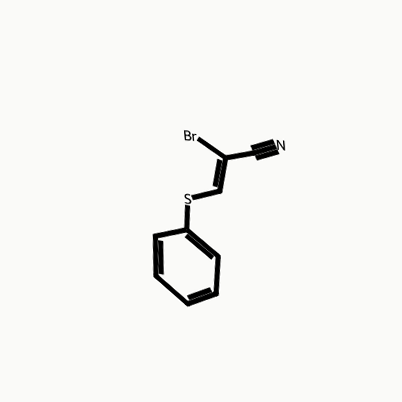 N#CC(Br)=CSc1ccccc1